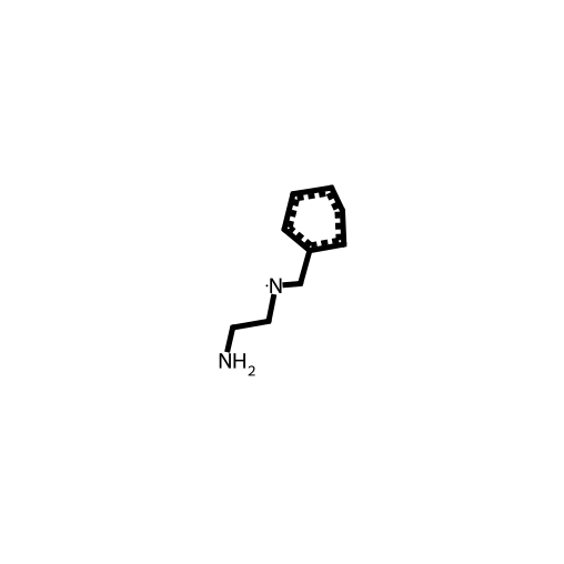 NCC[N]Cc1ccccc1